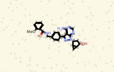 COc1ccccc1C(=O)NCc1ccc(-c2nn([C@@H]3C[C@@H](O)C4CC43)c3ncnc(N)c23)cc1